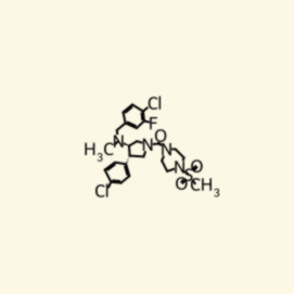 CN(Cc1ccc(Cl)c(F)c1)[C@H]1CN(C(=O)N2CCN(S(C)(=O)=O)CC2)C[C@@H]1c1ccc(Cl)cc1